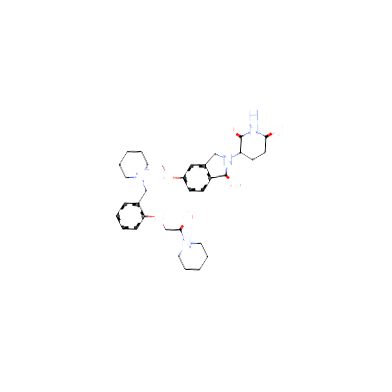 O=C1CCC(N2Cc3cc(OC[C@H]4CCCCN4Cc4ccccc4OCC(=O)N4CCCCC4)ccc3C2=O)C(=O)N1